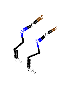 C=CCN=C=S.C=CCN=C=S